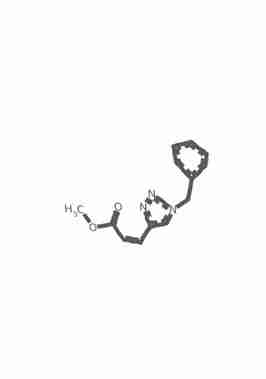 COC(=O)/C=C\c1cn(Cc2ccccc2)nn1